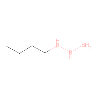 BBBCCCC